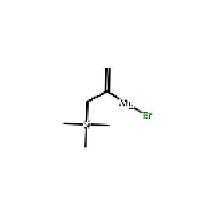 C=[C](C[Si](C)(C)C)[Mg][Br]